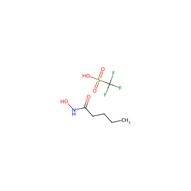 CCCCC(=O)NO.O=S(=O)(O)C(F)(F)F